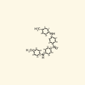 Cc1ccc(Nc2ccc([S+]([O-])c3ccc(Nc4ccc(C)cc4)cc3)cc2)cc1